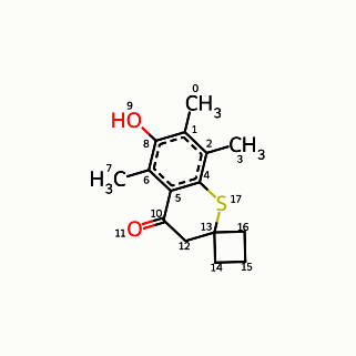 Cc1c(C)c2c(c(C)c1O)C(=O)CC1(CCC1)S2